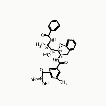 CCCN(CCC)C(=O)c1cc(C)cc(C(=O)N[C@H](Cc2ccccc2)[C@@H](O)[C@H](O)[C@H](C)NC(=O)c2ccccc2)c1